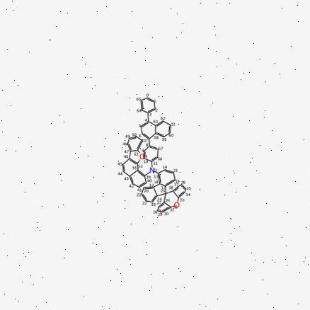 c1ccc(-c2ccc(-c3ccc(N(c4cccc5c4-c4ccccc4C54c5ccccc5Oc5ccccc54)c4cccc5ccc6c7ccccc7oc6c45)cc3)c3ccccc23)cc1